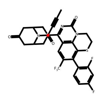 CC#CC(=O)N1C2CC(=O)CC1CN(c1nc(=O)n3c4c(c(-c5ccc(F)cc5F)c(C(F)(F)F)cc14)SCC3)C2